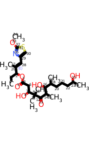 CCC(OC(=O)CC(O)C(C)(C)C(=O)C(C)C(O)C(C)CCCC(C)O)/C(C)=C/c1csc(OC)n1